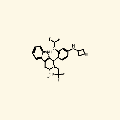 C[C@@H]1Cc2c([nH]c3ccccc23)[C@@H](c2ccc(NC3CNC3)cc2OC(F)F)N1CC(F)(F)F